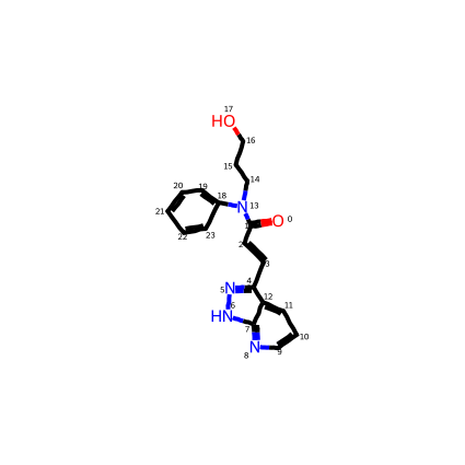 O=C(/C=C/c1n[nH]c2ncccc12)N(CCCO)c1ccccc1